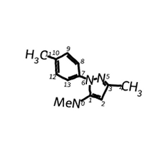 CNc1cc(C)nn1-c1ccc(C)cc1